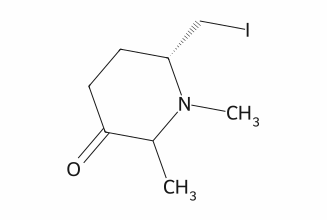 CC1C(=O)CC[C@H](CI)N1C